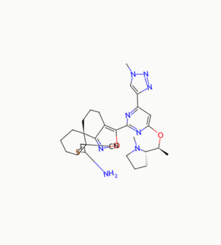 C[C@H](Oc1cc(-c2cn(C)nn2)nc(-c2onc3c2CCC[C@@]32CCCc3sc(N)c(C#N)c32)n1)[C@@H]1CCCN1C